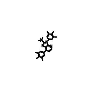 Cc1cc(-c2ccnc3c2nc(N(C)C)n3-c2cc(C)c(C)c(C)c2)cc(C)c1C